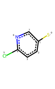 [S]c1ccc(Cl)nc1